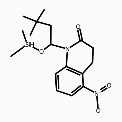 C[SiH](C)OC(CC(C)(C)C)N1C(=O)CCc2c1cccc2[N+](=O)[O-]